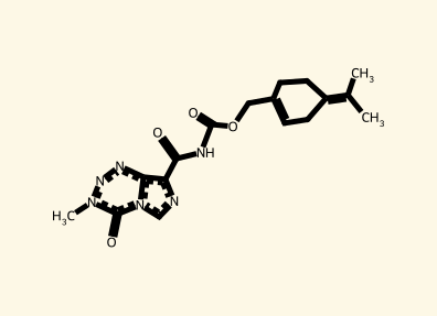 CC(C)=C1CC=C(COC(=O)NC(=O)c2ncn3c(=O)n(C)nnc23)CC1